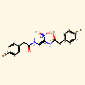 O=C(Cc1ccc(Br)cc1)NC=C(NC(=O)Cc1ccc(Br)cc1)[N+](=O)[O-]